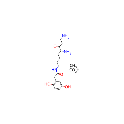 CC(=O)O.NCCC(=O)C(N)CCCCNC(=O)Cc1cc(O)ccc1O